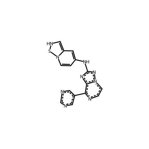 C1=CN2SNC=C2C=C1Nc1nc2c(-c3cncnc3)nccn2n1